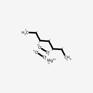 CCCCCCC.CC[O-].CC[O-].[Mg+2]